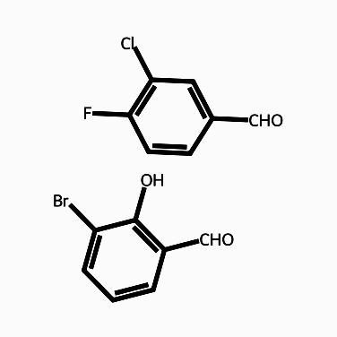 O=Cc1ccc(F)c(Cl)c1.O=Cc1cccc(Br)c1O